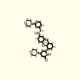 O=c1cc(N2CCOCC2)cc(-c2cccc3c2Oc2ccc(NCc4ccnc(N5CCOCC5)n4)cc2C3)[nH]1